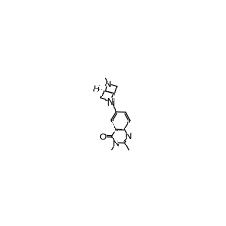 Cc1nc2ccc(N3C[C@@H]4C3CN4C)cc2c(=O)n1C